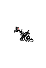 CC[C@H]1CN(C(C)c2ccc(F)cc2C(F)(F)F)[C@H](CC)CN1c1cc(=O)n(Cc2ccc(OC)c(OC)c2)c2cn(C3CCCCO3)nc12